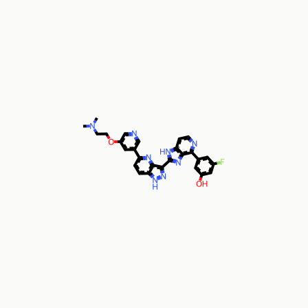 CN(C)CCOc1cncc(-c2ccc3[nH]nc(-c4nc5c(-c6cc(O)cc(F)c6)nccc5[nH]4)c3n2)c1